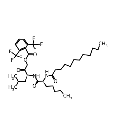 CCCCCCCCCCCC(=O)N[C@@H](CCCCC)C(=O)N[C@@H](CC(C)C)C(=O)COC(=O)c1c(C(F)(F)F)cccc1C(F)(F)F